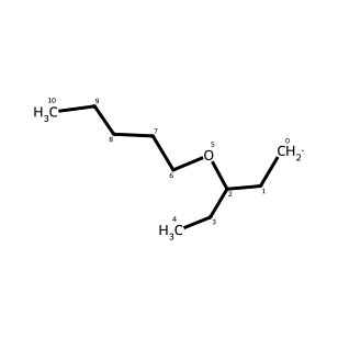 [CH2]CC(CC)OCCCCC